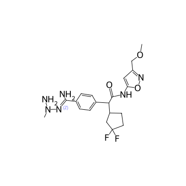 COCc1cc(NC(=O)C(c2ccc(/C(N)=N/N(C)N)cc2)C2CCC(F)(F)C2)on1